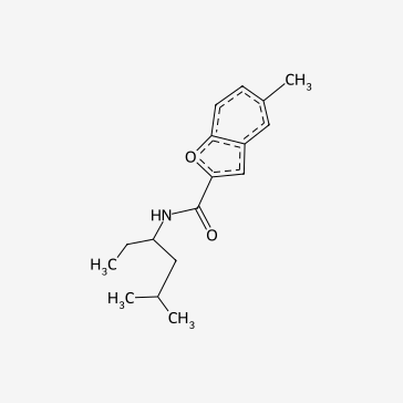 CCC(CC(C)C)NC(=O)c1cc2cc(C)ccc2o1